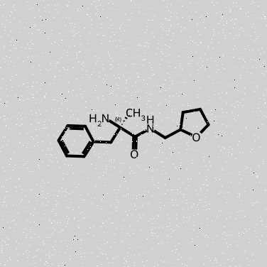 C[C@@](N)(Cc1ccccc1)C(=O)NCC1CCCO1